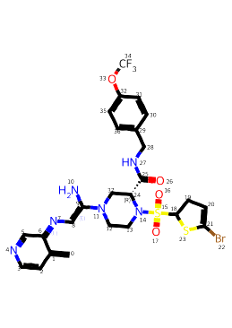 C=C1C=CN=C/C1=N/C=C(\N)N1CCN(S(=O)(=O)C2CC=C(Br)S2)[C@@H](C(=O)NCc2ccc(OC(F)(F)F)cc2)C1